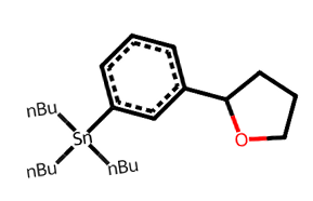 CCC[CH2][Sn]([CH2]CCC)([CH2]CCC)[c]1cccc(C2CCCO2)c1